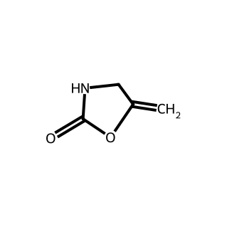 C=C1CNC(=O)O1